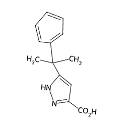 CC(C)(c1ccccc1)c1cc(C(=O)O)n[nH]1